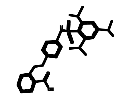 CC(C)c1cc(C(C)C)c(S(=O)(=O)Nc2ccc(CCc3ccccc3C(=O)O)cc2)c(C(C)C)c1